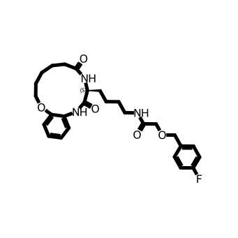 O=C(COCc1ccc(F)cc1)NCCCC[C@@H]1NC(=O)CCCCCOc2ccccc2NC1=O